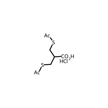 CC(=O)SCC(CSC(C)=O)C(=O)O.Cl